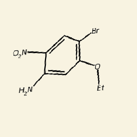 CCOc1cc(N)c([N+](=O)[O-])cc1Br